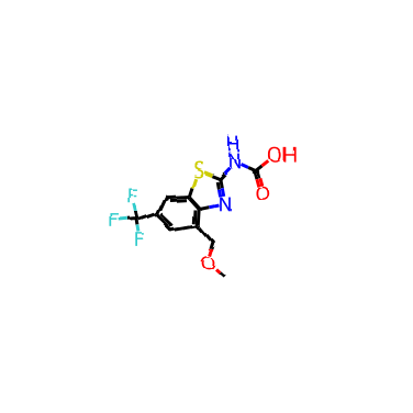 COCc1cc(C(F)(F)F)cc2sc(NC(=O)O)nc12